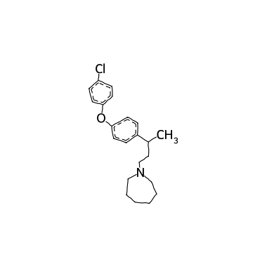 CC(CCN1CCCCCC1)c1ccc(Oc2ccc(Cl)cc2)cc1